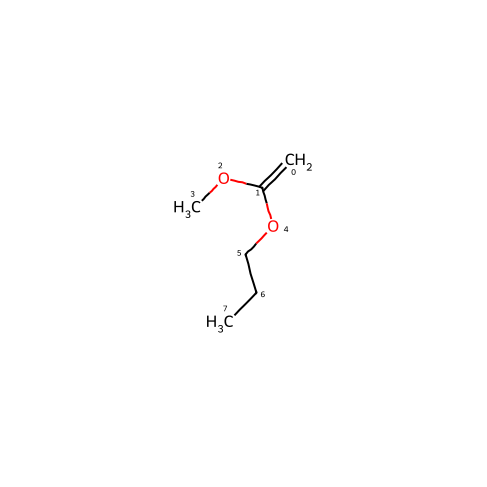 C=C(OC)OCCC